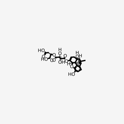 CN1CC[C@]23c4c5ccc(O)c4O[C@H]2C(OC(=O)[C@H](O)[C@@H](O)C(=O)O[C@H](CC(=O)O)C(=O)O)=CC[C@@]3(O)[C@H]1C5